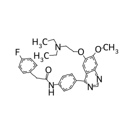 CCN(CC)CCOc1cc2c(-c3ccc(NC(=O)Cc4ccc(F)cc4)cc3)ncnc2cc1OC